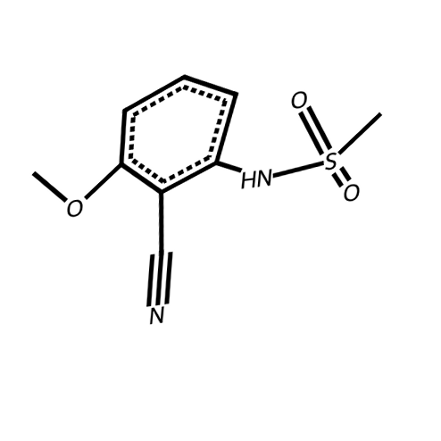 COc1cccc(NS(C)(=O)=O)c1C#N